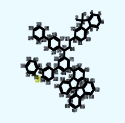 CC1(C)c2ccccc2-c2ccc(CCC(c3ccc(-c4ccccc4)cc3)c3cc(-c4ccc5sc6ccccc6c5c4)cc(-c4cccc5c4-c4ccccc4C54c5ccccc5-c5ccccc54)c3)cc21